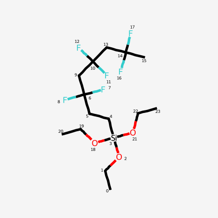 CCO[Si](CCC(F)(F)CC(F)(F)CC(C)(F)F)(OCC)OCC